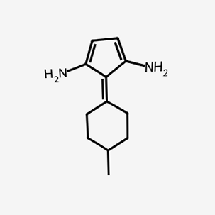 CC1CCC(=C2C(N)=CC=C2N)CC1